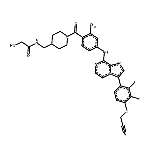 Cc1cc(Nc2nccn3c(-c4ccc(OCC#N)c(F)c4F)cnc23)ccc1C(=O)N1CCC(CNC(=O)CO)CC1